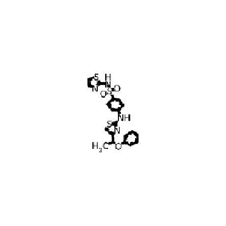 CC(Oc1ccccc1)c1csc(Nc2ccc(S(=O)(=O)Nc3nccs3)cc2)n1